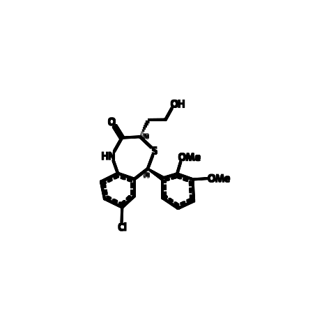 COc1cccc([C@@H]2S[C@@H](CCO)C(=O)Nc3ccc(Cl)cc32)c1OC